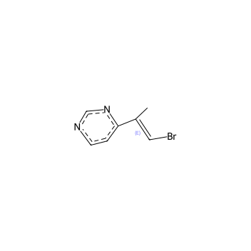 C/C(=C\Br)c1ccncn1